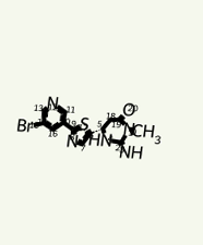 CN1C(=N)N[C@H](c2cnc(-c3cncc(Br)c3)s2)CC1=O